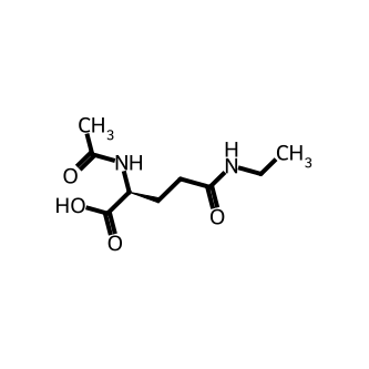 CCNC(=O)CC[C@H](NC(C)=O)C(=O)O